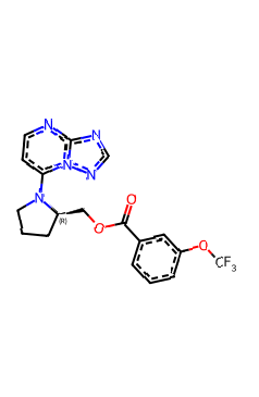 O=C(OC[C@H]1CCCN1c1ccnc2ncnn12)c1cccc(OC(F)(F)F)c1